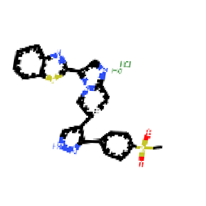 CS(=O)(=O)c1ccc(-c2n[nH]cc2-c2ccc3ncc(-c4nc5ccccc5s4)n3c2)cc1.Cl.Cl